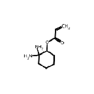 C=CC(=O)OC1CC[CH]CC1(N)N